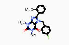 CCCn1c(=O)c2c(nc(-c3ccccc3OC)n2Cc2ccc(F)cc2)n(C)c1=O